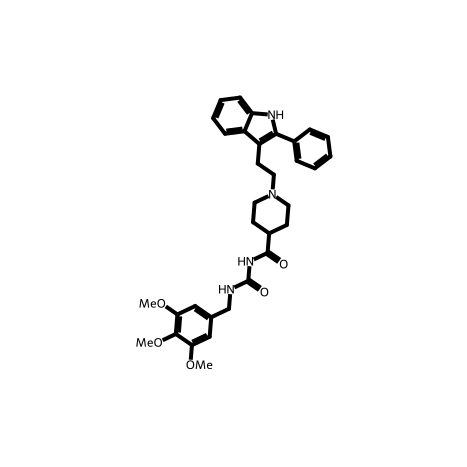 COc1cc(CNC(=O)NC(=O)C2CCN(CCc3c(-c4ccccc4)[nH]c4ccccc34)CC2)cc(OC)c1OC